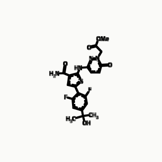 COC(=O)Cn1nc(Nc2sc(-c3c(F)cc(C(C)(C)O)cc3F)cc2C(N)=O)ccc1=O